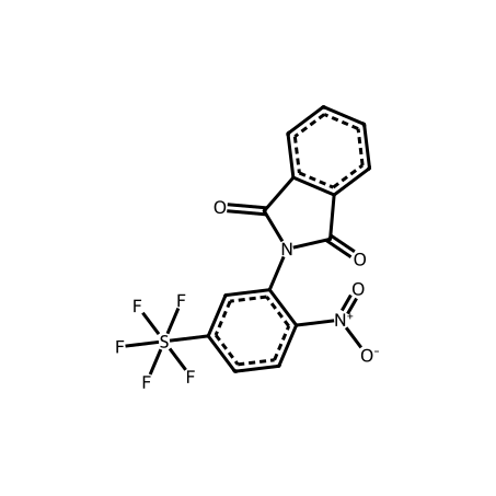 O=C1c2ccccc2C(=O)N1c1cc(S(F)(F)(F)(F)F)ccc1[N+](=O)[O-]